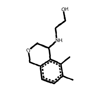 Cc1ccc2c(c1C)C(NCCO)COC2